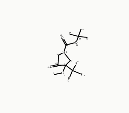 COC1(C(F)(F)F)CN(C(=O)OC(C)(C)C)CC1=O